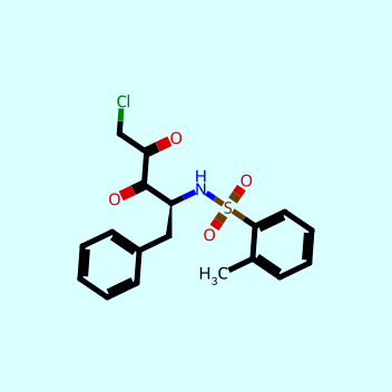 Cc1ccccc1S(=O)(=O)N[C@@H](Cc1ccccc1)C(=O)C(=O)CCl